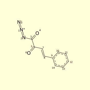 [N-]=[N+]=NC(=O)C(=O)C=Cc1ccccc1